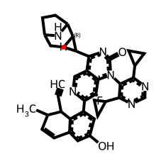 C#CC1c2c(cc(O)cc2-c2ncc3c(C4C5CC6CCC(N6)[C@H]54)nc(=O)n(-c4c(C5CC5)ncnc4C4CC4)c3c2F)C=CC1C